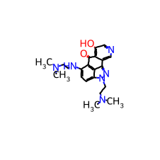 CN(C)CCNc1ccc2c3c(nn2CCN(C)C)-c2cncc(O)c2C(=O)c13